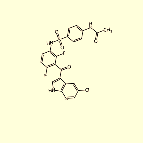 CC(=O)Nc1ccc(S(=O)(=O)Nc2ccc(F)c(C(=O)c3c[nH]c4ncc(Cl)cc34)c2F)cc1